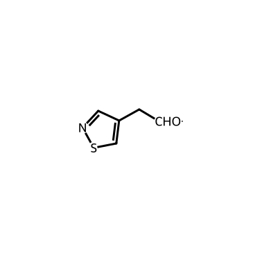 O=[C]Cc1cnsc1